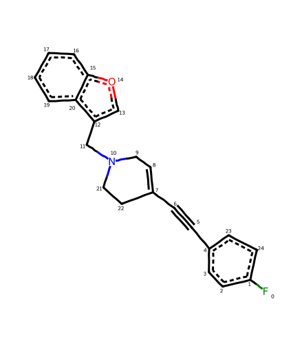 Fc1ccc(C#CC2=CCN(Cc3coc4ccccc34)CC2)cc1